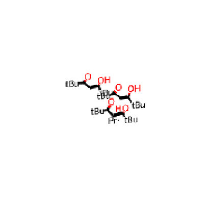 CC(C)(C)C(=O)C=C(O)C(C)(C)C.CC(C)(C)C(=O)C=C(O)C(C)(C)C.CC(C)(C)C(=O)C=C(O)C(C)(C)C.[Pr]